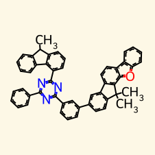 CC1c2ccccc2-c2c(-c3nc(-c4ccccc4)nc(-c4cccc(-c5ccc6c(c5)-c5ccc7c(oc8ccccc87)c5C6(C)C)c4)n3)cccc21